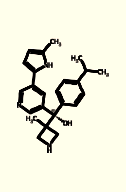 Cc1ccc(-c2cncc([C@@](O)(c3ccc(C(C)C)cc3)C3(C)CNC3)c2)[nH]1